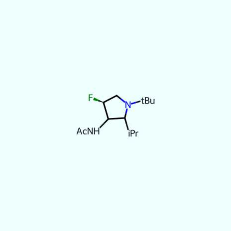 CC(=O)NC1C(C(C)C)N(C(C)(C)C)C[C@@H]1F